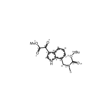 COC(=O)C(=O)c1c[nH]c2c(CN(C)C(=O)OC(C)(C)C)cccc12